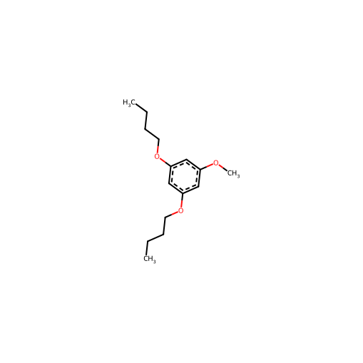 CCCCOc1cc(OC)cc(OCCCC)c1